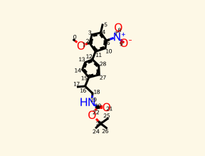 COc1cc(C)c([N+](=O)[O-])cc1-c1ccc(C(C)CNC(=O)OC(C)(C)C)cc1